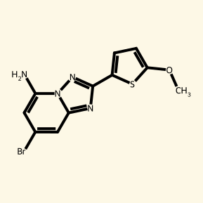 COc1ccc(-c2nc3cc(Br)cc(N)n3n2)s1